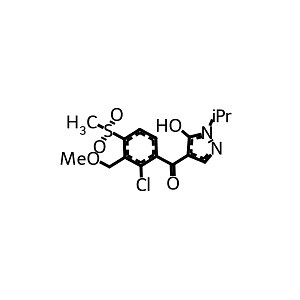 COCc1c(S(C)(=O)=O)ccc(C(=O)c2cnn(C(C)C)c2O)c1Cl